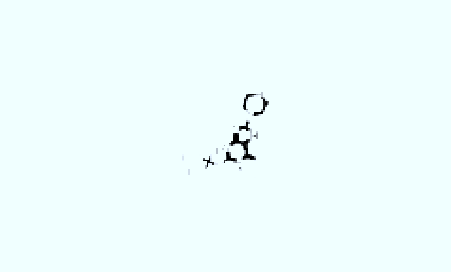 Cn1c(SC(C)(C)C(=O)O)nc2nc(N3CCNCC3)[nH]c2c1=O